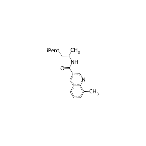 CCCC(C)CC(C)NC(=O)c1cnc2c(C)cccc2c1